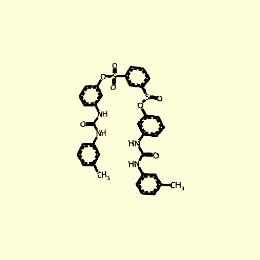 Cc1cccc(NC(=O)Nc2cccc(OS(=O)c3cccc(S(=O)(=O)Oc4cccc(NC(=O)Nc5cccc(C)c5)c4)c3)c2)c1